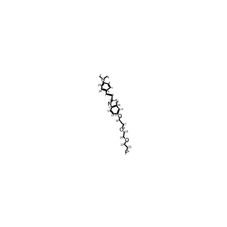 CN(C)c1ccc(/C=C/c2nc3ccc(OCCOCCOCCF)cc3s2)cc1